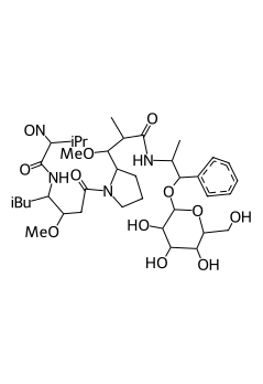 CCC(C)C(NC(=O)C(N=O)C(C)C)C(CC(=O)N1CCCC1C(OC)C(C)C(=O)NC(C)C(OC1OC(CO)C(O)C(O)C1O)c1ccccc1)OC